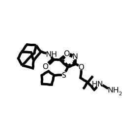 CC(C)(CNN)COc1noc(C(=O)NC2C3CC4CC(C3)CC2C4)c1SC1CCCC1